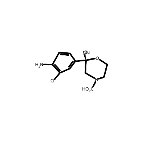 CC(C)(C)[C@]1(c2ccc(N)c(Cl)c2)CN(C(=O)O)CCO1